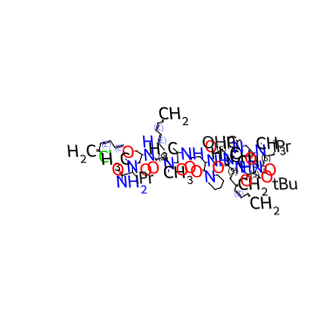 C=C/C=C\C=C\C[C@@H](C(=O)NC(CO/C=C/C=C\C(=C)Cl)C(=O)N(C)C(C(N)=O)C(C)C)N(C)C(=O)C(C)NC(=O)CC(NC(=O)[C@H](C(C)C)N(C)C(=O)[C@H](CC(=C)/C=C\C=C)N(C)C(=O)[C@H](COC(C)(C)C)NC(=O)[C@H](CC(C)C)N(C)C(=O)CN(C)C=O)C(=O)N1CCCCC1